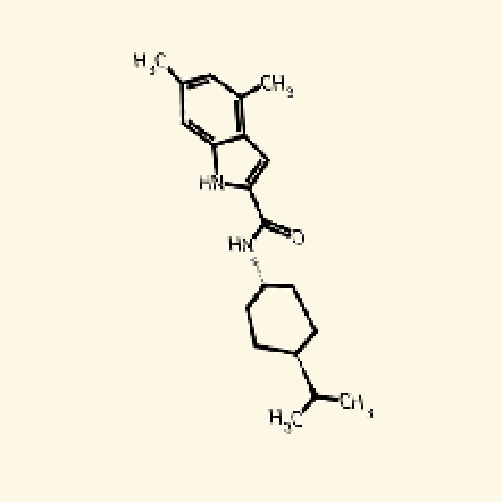 Cc1cc(C)c2cc(C(=O)N[C@H]3CC[C@H](C(C)C)CC3)[nH]c2c1